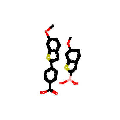 COc1ccc2cc(-c3ccc(C(=O)O)cc3)sc2c1.COc1ccc2cc(B(O)O)sc2c1